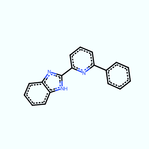 c1ccc(-c2cccc(-c3nc4ccccc4[nH]3)n2)cc1